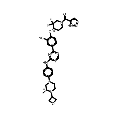 C[C@H]1CN(c2ccc(Nc3ncnc(-c4ccc(O[C@H]5CCN(C(=O)c6cnn[nH]6)CC5(F)F)c(C#N)c4)n3)cc2)CCN1C1COC1